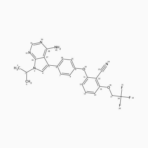 CC(C)n1cc(-c2ccc(Oc3cccc(OCC(F)(F)F)c3C#N)cc2)c2c(N)ncnc21